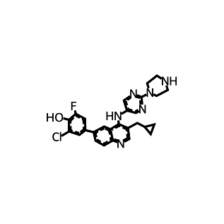 Oc1c(F)cc(-c2ccc3ncc(CC4CC4)c(Nc4cnc(N5CCNCC5)nc4)c3c2)cc1Cl